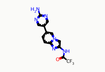 Nc1ncc(-c2ccc3nc(NC(=O)C(F)(F)F)cn3c2)cn1